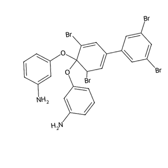 Nc1cccc(OC2(Oc3cccc(N)c3)C(Br)=CC(c3cc(Br)cc(Br)c3)=CC2Br)c1